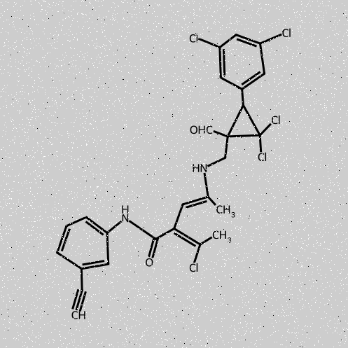 C#Cc1cccc(NC(=O)C(/C=C(\C)NCC2(C=O)C(c3cc(Cl)cc(Cl)c3)C2(Cl)Cl)=C(/C)Cl)c1